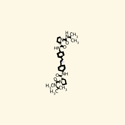 CC(C)NC(=O)N1CCC[C@H]1C(=O)Nc1ccc(/C=C/c2ccc(NC(=O)[C@@H]3CCCN3C(=O)N(C)C(C)C)cc2)cc1